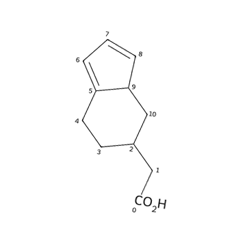 O=C(O)CC1CCC2=CC=CC2C1